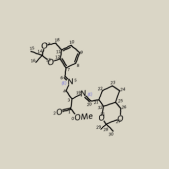 COC(=O)C(C/N=C/c1cccc2c1OC(C)(C)OC2)/N=C/C1CCCC2COC(C)(C)OC12